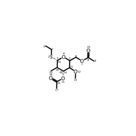 CCS[C@@H]1OC(COC(C)=O)C(OC)[C@H](OC(C)=O)C1C